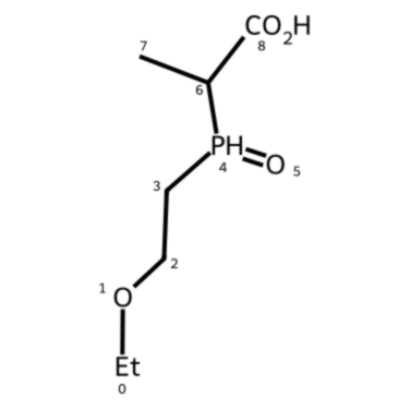 CCOCC[PH](=O)C(C)C(=O)O